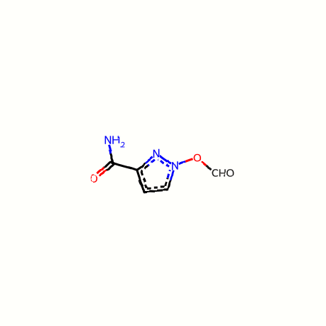 NC(=O)c1ccn(OC=O)n1